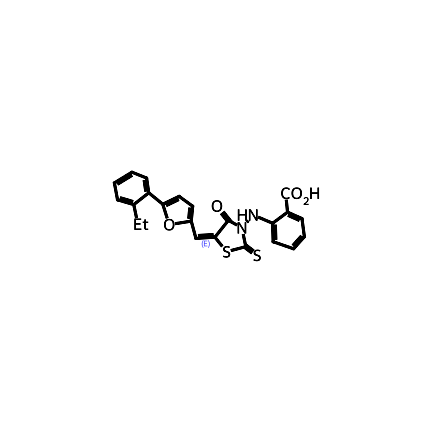 CCc1ccccc1-c1ccc(/C=C2/SC(=S)N(Nc3ccccc3C(=O)O)C2=O)o1